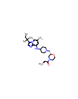 [2H]CC([2H])(C)c1cnc2c(NC3CCN(C[C@H]4CN(C(=O)C=C)CCO4)CC3)cc(C(F)(F)F)cn12